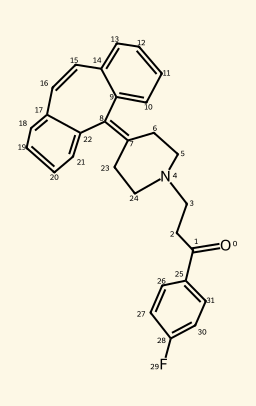 O=C(CCN1CCC(=C2c3ccccc3C=Cc3ccccc32)CC1)c1ccc(F)cc1